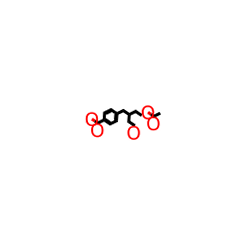 COC(=O)c1ccc(CC(CC=O)CCOC(C)=O)cc1